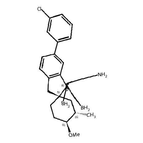 BC1(B)OC(N)=N[C@]12c1cc(-c3cccc(Cl)c3)ccc1C[C@@]21CC[C@H](OC)[C@@H](C)C1